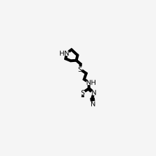 CSC(=NC#N)NCCSCC1CCNCC1